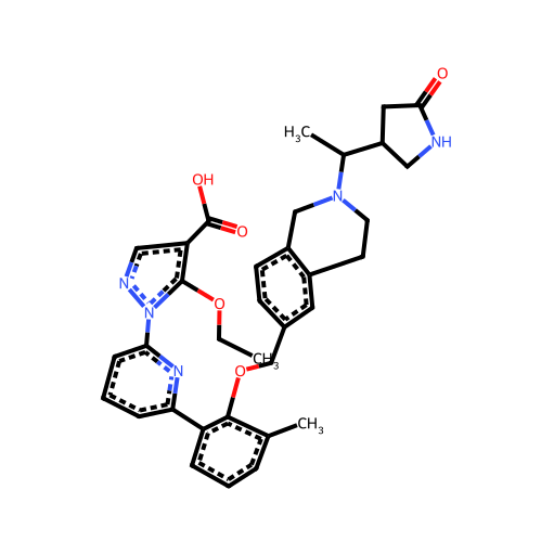 CCOc1c(C(=O)O)cnn1-c1cccc(-c2cccc(C)c2OCc2ccc3c(c2)CCN(C(C)C2CNC(=O)C2)C3)n1